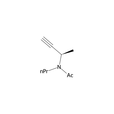 C#C[C@@H](C)N(CCC)C(C)=O